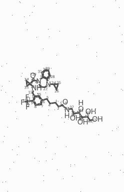 O=C(CCCCc1ccc(C(F)(F)F)c(CNC2(C(=O)N3CCN(C4CC4)c4ccccc43)CC2)c1)NC[C@H](O)[C@@H](O)[C@H](O)[C@H](O)CO